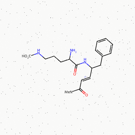 CNC(=O)/C=C/C(Cc1ccccc1)NC(=O)C(N)CCCNC(=O)O